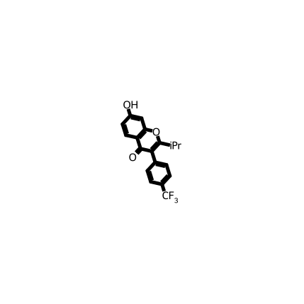 CC(C)c1oc2cc(O)ccc2c(=O)c1-c1ccc(C(F)(F)F)cc1